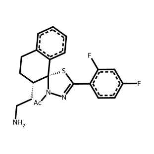 CC(=O)N1N=C(c2ccc(F)cc2F)S[C@]12c1ccccc1CC[C@H]2CCN